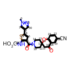 Cn1cc(-c2cc(C(=O)N3CCC4(CC3)CC(=O)c3cc(C#N)ccc3O4)c(NC(=O)O)s2)cn1